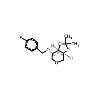 CC1(C)O[C@@H]2[C@@H](OCc3ccc(F)cc3)COC[C@@H]2O1